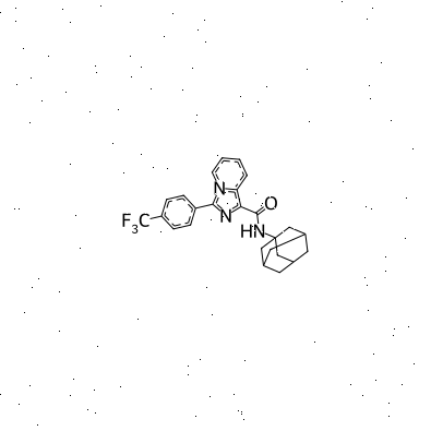 O=C(NC12CC3CC(CC(C3)C1)C2)c1nc(-c2ccc(C(F)(F)F)cc2)n2ccccc12